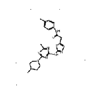 Cc1ccc(NC(=O)Cc2cnc(Nc3nc(C)nc(N4CCN(C)CC4)n3)s2)cc1